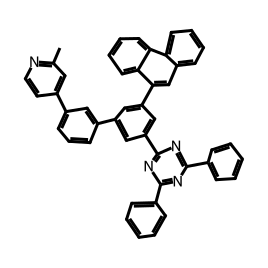 Cc1cc(-c2cccc(-c3cc(-c4nc(-c5ccccc5)nc(-c5ccccc5)n4)cc(-c4cc5ccccc5c5ccccc45)c3)c2)ccn1